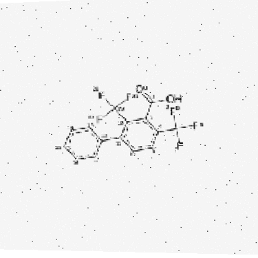 O=C(O)c1c(C(F)(F)F)ccc(-c2ccccc2)c1C(F)(F)F